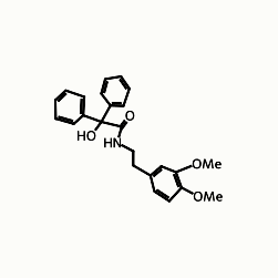 COc1ccc(CCNC(=O)C(O)(c2ccccc2)c2ccccc2)cc1OC